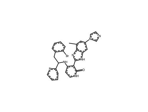 Cc1cc(-n2ccnc2)cc2[nH]c(-c3c(NC(Cc4ccccc4Br)c4ccccn4)cc[nH]c3=O)nc12